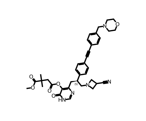 COC(=O)C(C)(C)CC(=O)Oc1c(C[C@H](CN2CC(C#N)C2)c2ccc(C#Cc3ccc(CN4CCOCC4)cc3)cc2)nc[nH]c1=O